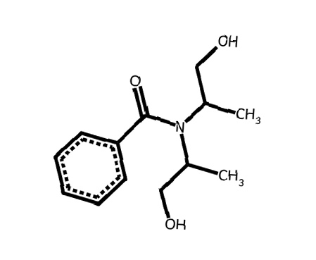 CC(CO)N(C(=O)c1ccccc1)C(C)CO